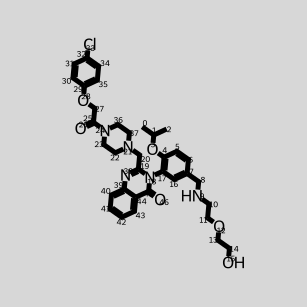 CC(C)Oc1ccc(CNCCOCCO)cc1-n1c(CN2CCN(C(=O)COc3ccc(Cl)cc3)CC2)nc2ccccc2c1=O